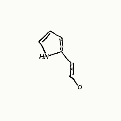 ClC=Cc1ccc[nH]1